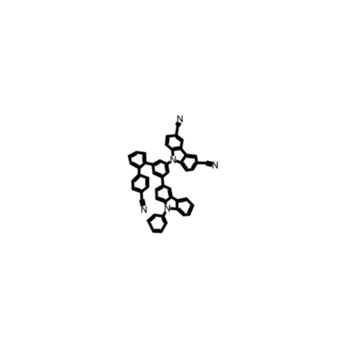 N#Cc1ccc(-c2ccccc2-c2cc(-c3ccc4c(c3)c3ccccc3n4-c3ccccc3)cc(-n3c4ccc(C#N)cc4c4cc(C#N)ccc43)c2)cc1